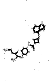 C=CCC(F)C(C)N[C@H]1CC[C@H](NC(=O)[C@H]2C[C@H](Oc3cccc4scnc34)C2)CC1